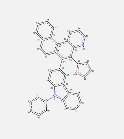 c1ccc(-n2c3ccccc3c3cc(-c4c(-c5cccs5)c5ncccc5c5c4ccc4ccccc45)ccc32)cc1